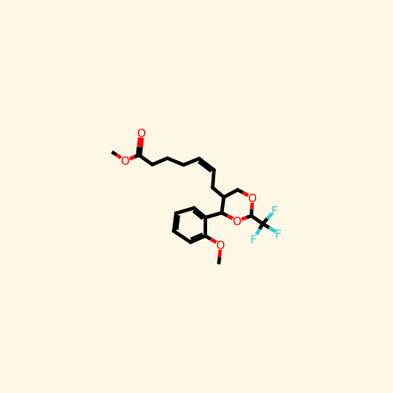 COC(=O)CCC/C=C\CC1COC(C(F)(F)F)OC1c1ccccc1OC